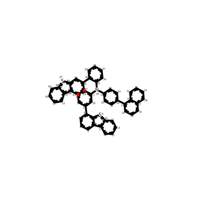 c1cc(-c2cccc3c2sc2ccccc23)cc(N(c2ccc(-c3cccc4ccccc34)cc2)c2ccccc2-c2ccc3c(c2)sc2ccccc23)c1